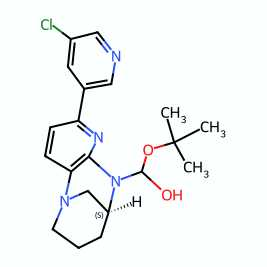 CC(C)(C)OC(O)N1c2nc(-c3cncc(Cl)c3)ccc2N2CCC[C@H]1C2